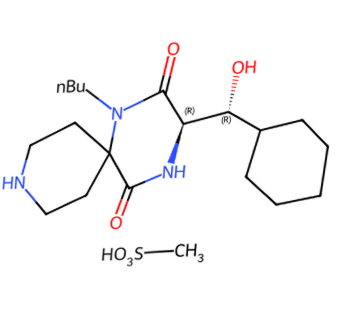 CCCCN1C(=O)[C@@H]([C@H](O)C2CCCCC2)NC(=O)C12CCNCC2.CS(=O)(=O)O